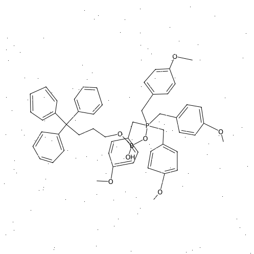 COc1ccc(CP(Cc2ccc(OC)cc2)(Cc2ccc(OC)cc2)(Cc2ccc(OC)cc2)OB(O)OCCCC(c2ccccc2)(c2ccccc2)c2ccccc2)cc1